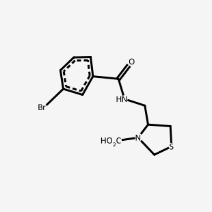 O=C(NCC1CSCN1C(=O)O)c1cccc(Br)c1